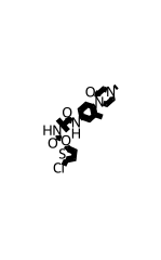 Cc1cc(NC(=O)C(C)(C)NC(=O)Oc2ccc(Cl)s2)ccc1N1CCN(C)CC1=O